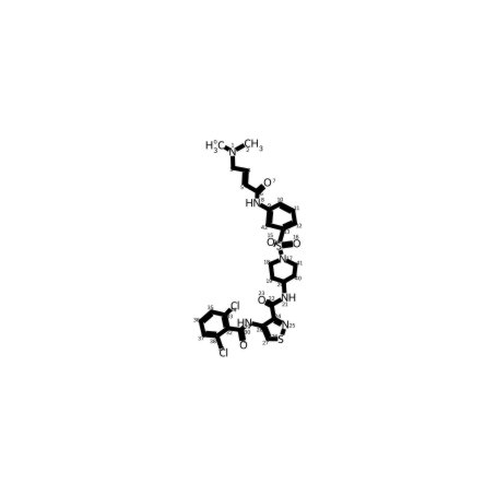 CN(C)C/C=C/C(=O)Nc1cccc(S(=O)(=O)N2CCC(NC(=O)c3nscc3NC(=O)c3c(Cl)cccc3Cl)CC2)c1